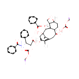 CC1=C2[CH]C(=O)[C@]3(C)[C@@H](OC(=O)OCI)C[C@H]4OC[C]4[C@H]3[C@H](OC(=O)c3ccccc3)[C@](O)(C[C@@H]1OC(=O)[C@H](OC(=O)OCI)[C@@H](NC(=O)c1ccccc1)c1ccccc1)C2(C)C